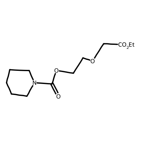 CCOC(=O)COCCOC(=O)N1CCCCC1